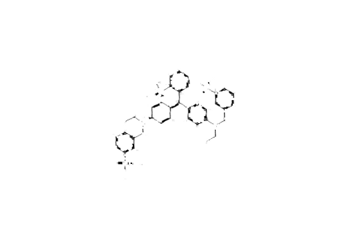 CCN(Cc1cccc(S(=O)(=O)O)c1)c1ccc(C(=C2C=CC(=[N+](CC)Cc3cccc(S(=O)(=O)O)c3)C=C2)c2ccccc2S(=O)(=O)Cl)cc1